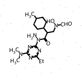 CCc1nc(N(C)C)nc(N(N)C(=O)C(CN(O)C=O)C2CCC(C)CC2)n1